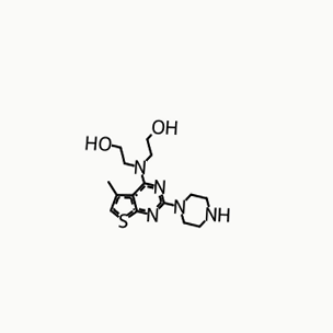 Cc1csc2nc(N3CCNCC3)nc(N(CCO)CCO)c12